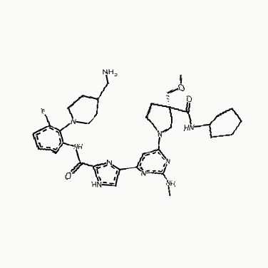 CNc1nc(-c2c[nH]c(C(=O)Nc3cccc(F)c3N3CCC(CN)CC3)n2)cc(N2CC[C@@](COC)(C(=O)NC3CCCCC3)C2)n1